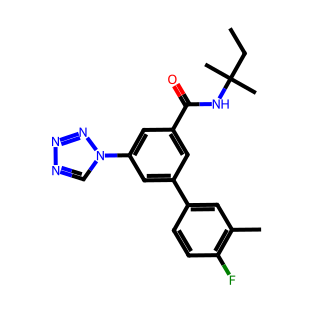 CCC(C)(C)NC(=O)c1cc(-c2ccc(F)c(C)c2)cc(-n2cnnn2)c1